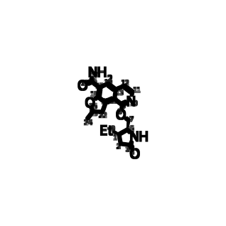 CC[C@@H]1CC(=O)N[C@@H]1COc1nccc2cc(C(N)=O)c3c(c12)CC(C)O3